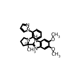 COc1cc2nc([C@]3(C)CCCN3c3ccc[c]c3-n3cccn3)[nH]c2cc1OC